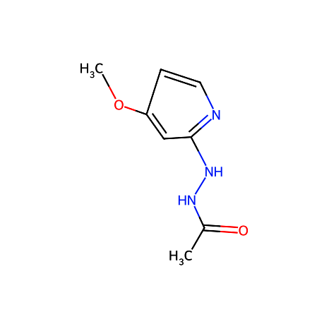 COc1ccnc(NNC(C)=O)c1